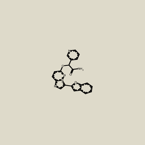 NC(=O)C(Oc1ccc2ncc(-c3cc4ccccc4o3)n2n1)c1cccnc1